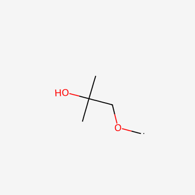 [CH2]OCC(C)(C)O